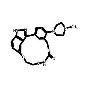 CN1CCN(c2ccc3cc2COC(=O)NCCCOc2ccc4[nH]nc-3c4c2)CC1